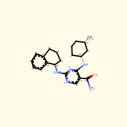 C[C@H]1CCC[C@@H](Nc2nc(N[C@@H]3CCCc4ccccc43)ncc2C(N)=O)C1